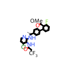 COC(=O)c1c(F)cccc1-c1ccc([C@@H](C)Nc2nccc(Cl)c2NC(=O)CC(F)(F)F)cc1